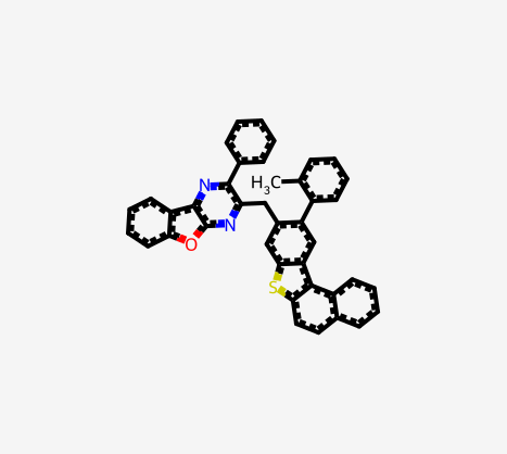 Cc1ccccc1-c1cc2c(cc1Cc1nc3oc4ccccc4c3nc1-c1ccccc1)sc1ccc3ccccc3c12